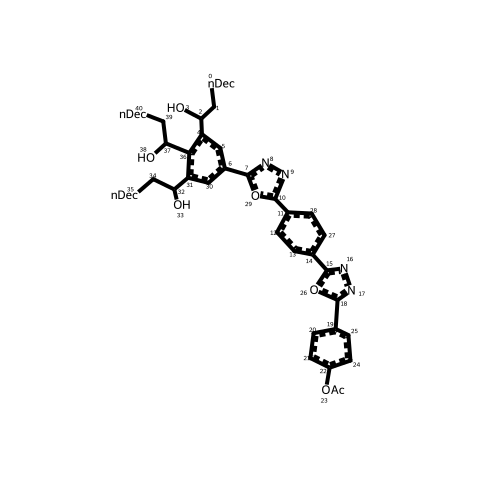 CCCCCCCCCCCC(O)c1cc(-c2nnc(-c3ccc(-c4nnc(-c5ccc(OC(C)=O)cc5)o4)cc3)o2)cc(C(O)CCCCCCCCCCC)c1C(O)CCCCCCCCCCC